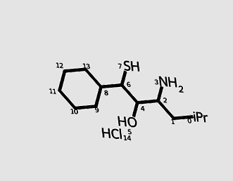 CC(C)CC(N)C(O)C(S)C1CCCCC1.Cl